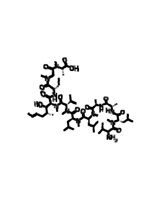 C/C=C/C[C@@H](C)[C@@H](O)[C@@H](C(=O)N[C@@H](CC)C(=O)N(C)CC(=O)N(C)[C@@H](C)C(=O)O)N(C)C(=O)[C@H](C(C)C)N(C)C(=O)[C@H](CC(C)C)N(C)C(=O)[C@H](CC(C)C)N(C)C(=O)[C@@H](C)NC(=O)[C@H](C)NC(=O)[C@H](CC(C)C)N(C)C(=O)[C@@H](N)C(C)C